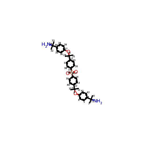 CC(C)(N)c1ccc(OC(C)(C)c2ccc(S(=O)(=O)c3ccc(C(C)(C)Oc4ccc(C(C)(C)N)cc4)cc3)cc2)cc1